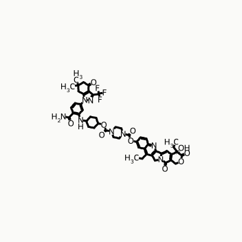 CCc1c2c(nc3ccc(OC(=O)N4CCN(C(=O)OC5CCC(Nc6cc(-n7nc(C(F)(F)F)c8c7CC(C)(C)CC8=O)ccc6C(N)=O)CC5)CC4)cc13)-c1cc3c(c(=O)n1C2)COC(=O)[C@]3(O)CC